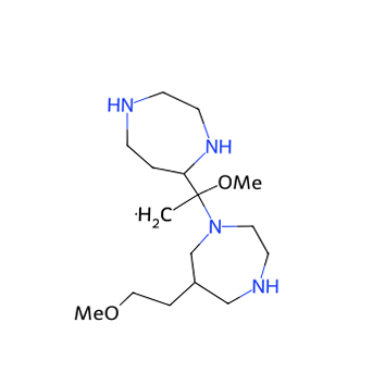 [CH2]C(OC)(C1CCNCCN1)N1CCNCC(CCOC)C1